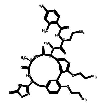 Cc1ccc(C(=O)N[C@@H](CCN)C(=O)N(C)[C@@H]2C(=O)N[C@@H](C)C(=O)N[C@H](c3noc(=S)[nH]3)Cc3ccc(OCCN)c(c3)-c3cc2ccc3OCCN)c(C)c1